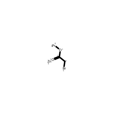 CC(C)OC(=O)CBr.[Zn]